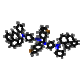 c1ccc(N(c2ccc(-n3c4cc5ccsc5cc4c4c3c3cc5sccc5cc3n4-c3ccc(N(c4ccccc4)c4ccc5ccc6cccc7ccc4c5c67)cc3)cc2)c2ccc3ccc4cccc5ccc2c3c45)cc1